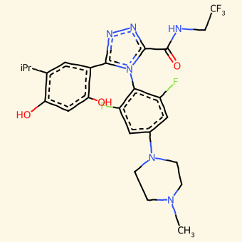 CC(C)c1cc(-c2nnc(C(=O)NCC(F)(F)F)n2-c2c(F)cc(N3CCN(C)CC3)cc2F)c(O)cc1O